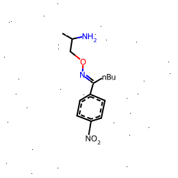 CCCCC(=NOCC(C)N)c1ccc([N+](=O)[O-])cc1